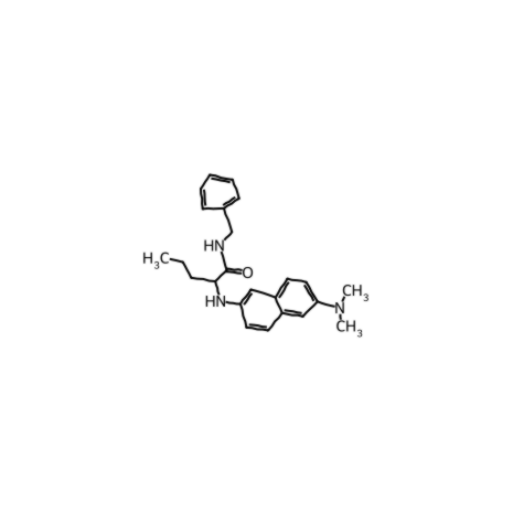 CCCC(Nc1ccc2cc(N(C)C)ccc2c1)C(=O)NCc1ccccc1